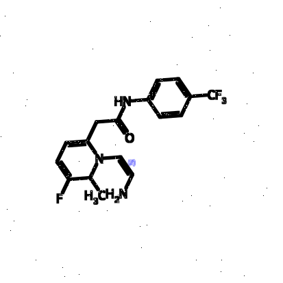 CC1C(F)=CC=C(CC(=O)Nc2ccc(C(F)(F)F)cc2)N1/C=C\N